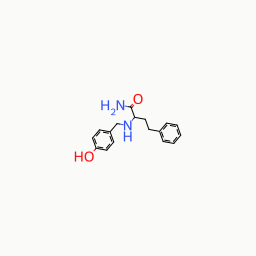 NC(=O)C(CCc1ccccc1)NCc1ccc(O)cc1